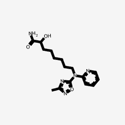 Cc1noc(N(CCCCCCC(O)C(N)=O)c2ccccn2)n1